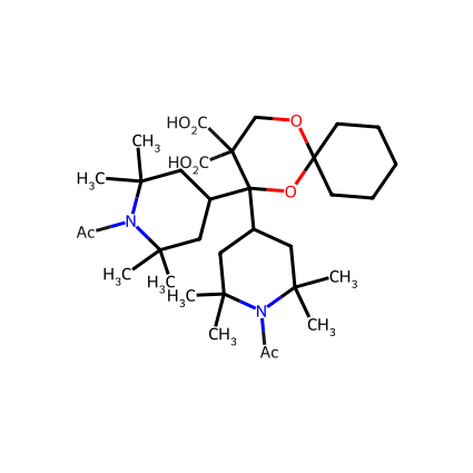 CC(=O)N1C(C)(C)CC(C2(C3CC(C)(C)N(C(C)=O)C(C)(C)C3)OC3(CCCCC3)OCC2(C(=O)O)C(=O)O)CC1(C)C